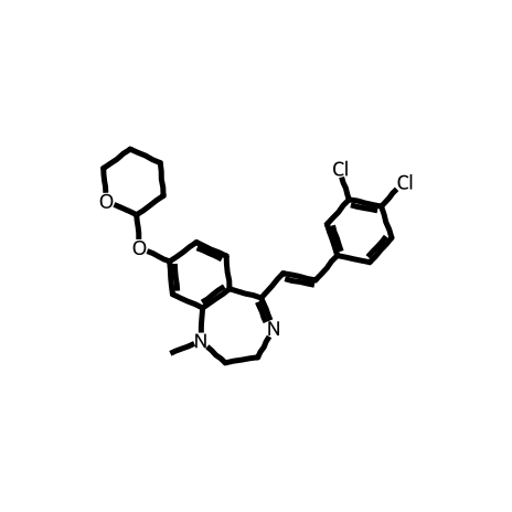 CN1CCN=C(/C=C/c2ccc(Cl)c(Cl)c2)c2ccc(OC3CCCCO3)cc21